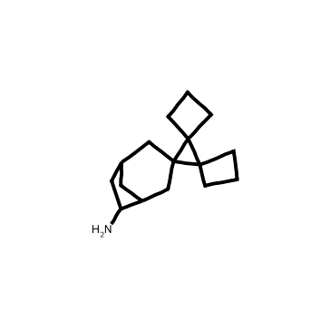 NC1CC2CC1CC1(C2)C2(CCC2)C12CCC2